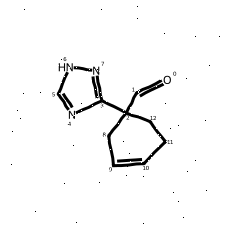 O=CC1(c2nc[nH]n2)CC=CCC1